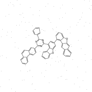 c1ccc(-c2nc(-c3ccc4c(ccc5ccccc54)c3)nc(-c3cc(-c4cccc5oc6cc7ccccc7cc6c45)cc4oc5ccccc5c34)n2)cc1